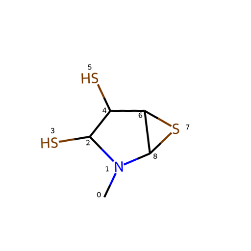 CN1C(S)C(S)C2SC21